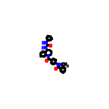 Cc1ccccc1C(=O)Nc1ccc(C(=O)N2CCCC(NC(=O)Nc3ccccc3)c3ccccc32)cc1